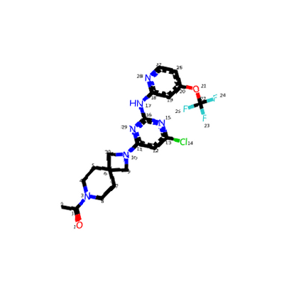 CC(=O)N1CCC2(CC1)CN(c1cc(Cl)nc(Nc3cc(OC(F)(F)F)ccn3)n1)C2